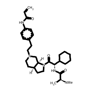 C=CC(=O)Nc1ccc(CCN2CC[C@@H]3CCN(C(=O)[C@@H](NC(=O)[C@H](C)NC)C4CCCCC4)[C@@H]3C2)cc1